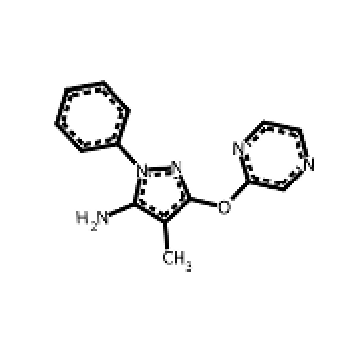 Cc1c(Oc2cnccn2)nn(-c2ccccc2)c1N